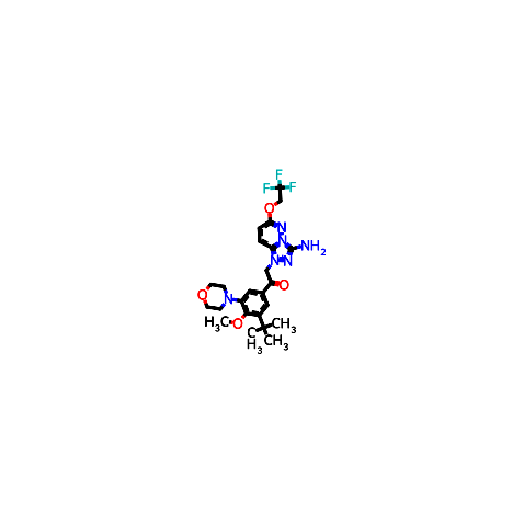 COc1c(N2CCOCC2)cc(C(=O)C[n+]2nc(N)n3nc(OCC(F)(F)F)ccc32)cc1C(C)(C)C